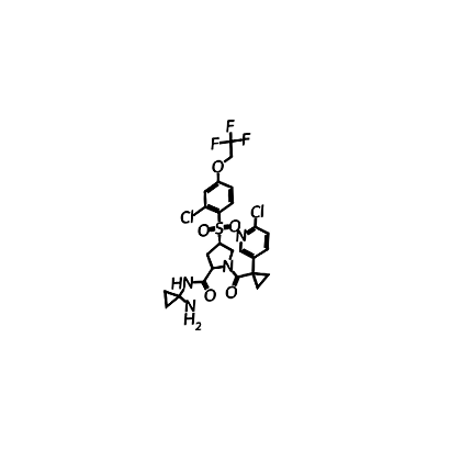 NC1(NC(=O)C2C[C@@H](S(=O)(=O)c3ccc(OCC(F)(F)F)cc3Cl)CN2C(=O)C2(c3ccc(Cl)nc3)CC2)CC1